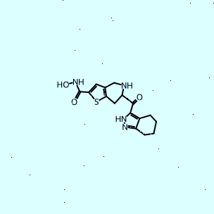 O=C(NO)c1cc2c(s1)CC(C(=O)c1[nH]nc3c1CCCC3)NC2